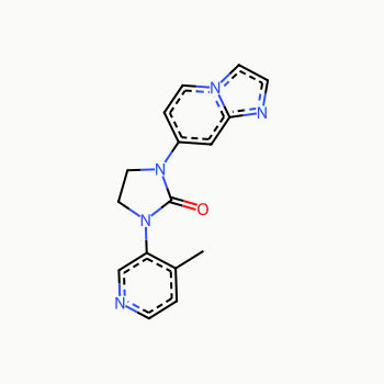 Cc1ccncc1N1CCN(c2ccn3ccnc3c2)C1=O